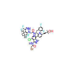 Cn1nc(NC(=O)CBr)c2c(Cl)ccc(-c3ccc(C#CC(C)(C)O)nc3[C@H](Cc3cc(F)cc(F)c3)NC(=O)CNC3=C(C(=N)C(F)F)[C@H]4CC[C@H]4C3(F)F)c21